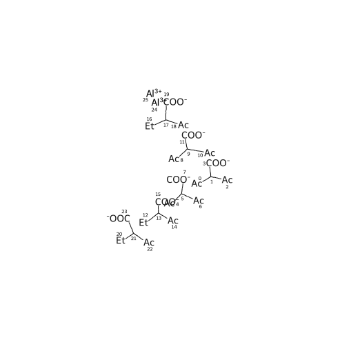 CC(=O)C(C(C)=O)C(=O)[O-].CC(=O)C(C(C)=O)C(=O)[O-].CC(=O)C(C(C)=O)C(=O)[O-].CCC(C(C)=O)C(=O)[O-].CCC(C(C)=O)C(=O)[O-].CCC(C(C)=O)C(=O)[O-].[Al+3].[Al+3]